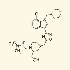 CN(C)C(=O)CN1CCN(Cc2nc(-c3cn(CC4CCOCC4)c4c(Cl)cccc34)no2)CC1CO